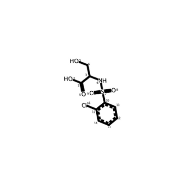 O=C(O)C(CO)NS(=O)(=O)c1ccccc1Cl